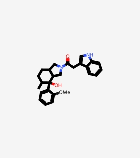 COc1ccccc1C1(O)C(C)CCC2CN(C(=O)Cc3c[nH]c4ccccc34)CC21